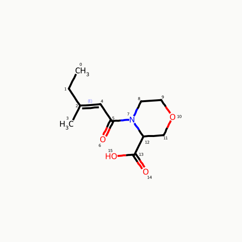 CC/C(C)=C/C(=O)N1CCOCC1C(=O)O